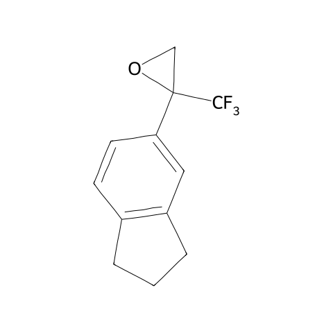 FC(F)(F)C1(c2ccc3c(c2)CCC3)CO1